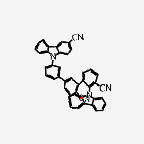 N#Cc1ccc2c(c1)c1ccccc1n2-c1cccc(-c2ccc(C#N)c(-c3cccc(C#N)c3-n3c4ccccc4c4ccccc43)c2)c1